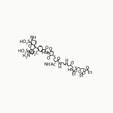 CCC(=O)N[C@@H](CSCC(COC(=O)CC)OC(=O)CC)C(=O)CNCCNC(=O)C(CSC1CC(=O)N(NC(=O)c2ccc(-c3c4ccc(=N)c(S(=O)(=O)O)c-4oc4c(S(=O)(=O)O)c(N)ccc34)c(C(=O)O)c2)C1=O)NC(C)=O